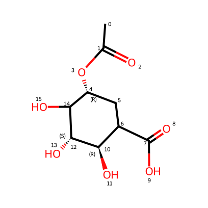 CC(=O)O[C@@H]1CC(C(=O)O)[C@@H](O)[C@H](O)C1O